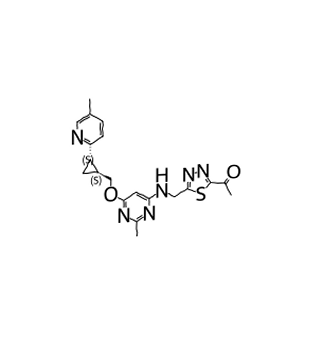 CC(=O)c1nnc(CNc2cc(OC[C@H]3C[C@@H]3c3ccc(C)cn3)nc(C)n2)s1